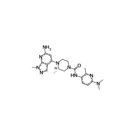 Cc1nc(N(C)C)ccc1NC(=O)N1CCN(c2cc(N)nc3c2cnn3C)[C@@H](C)C1